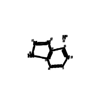 [H+].c1cc2[nH]nnc2cn1